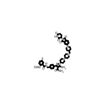 COc1ccc(F)cc1C(=O)NCc1ccc(-c2nn(C3CCN(C4CCN(CC5CCN(c6ccc7c(c6)C(=O)N(C6CCC(=O)NC6=O)C7=O)CC5)CC4)CC3)c(N)c2C(N)=O)cc1